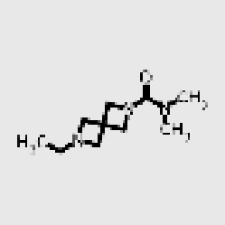 CCN1CC2(C1)CN(C(=O)N(C)C)C2